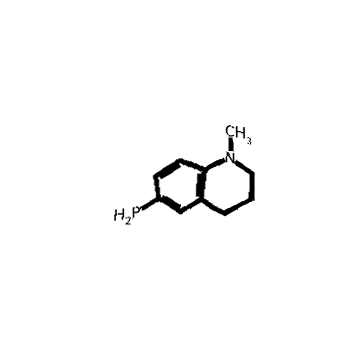 CN1CCCc2cc(P)ccc21